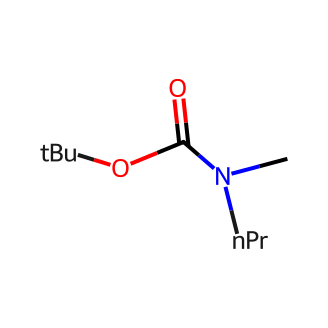 [CH2]CCN(C)C(=O)OC(C)(C)C